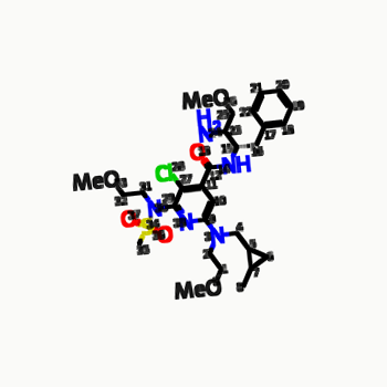 COCCN(CC1CC1C)c1cc(C(=O)N[C@@H](Cc2ccccc2)C(N)COC)c(Cl)c(N(CCOC)S(C)(=O)=O)n1